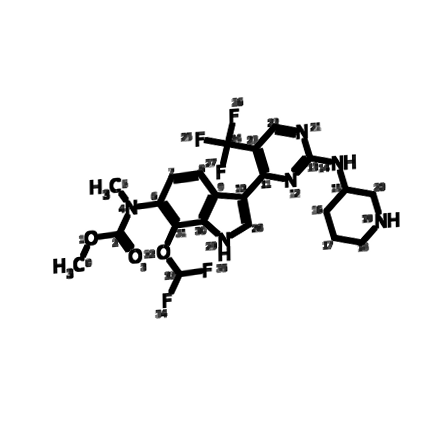 COC(=O)N(C)c1ccc2c(-c3nc(NC4CCCNC4)ncc3C(F)(F)F)c[nH]c2c1OC(F)F